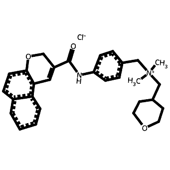 C[N+](C)(Cc1ccc(NC(=O)C2=Cc3c(ccc4ccccc34)OC2)cc1)CC1CCOCC1.[Cl-]